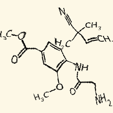 C=CC(C)(C)C#N.COC(=O)c1ccc(NC(=O)CN)c(OC)c1